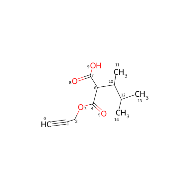 C#CCOC(=O)C(C(=O)O)C(C)C(C)C